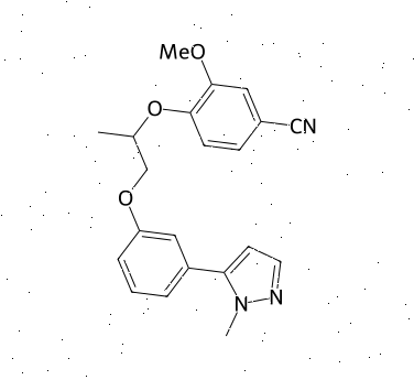 COc1cc(C#N)ccc1OC(C)COc1cccc(-c2ccnn2C)c1